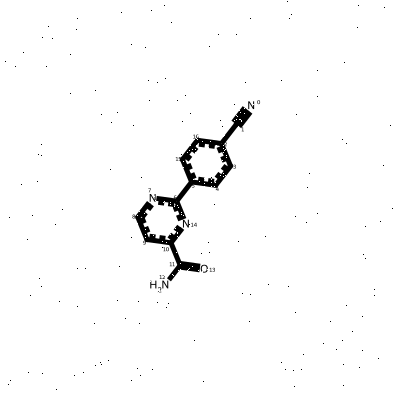 N#Cc1ccc(-c2nccc(C(N)=O)n2)cc1